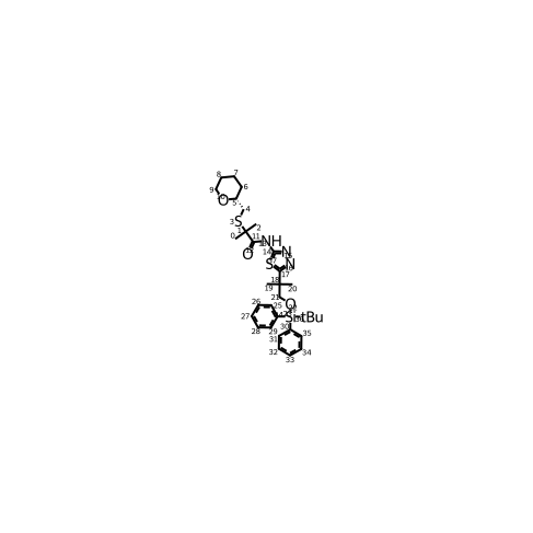 CC(C)(SC[C@H]1CCCCO1)C(=O)Nc1nnc(C(C)(C)CO[Si](c2ccccc2)(c2ccccc2)C(C)(C)C)s1